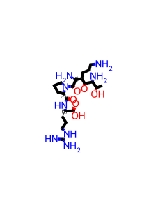 CC(O)C(N)C(=O)C(CCCN)[C@H](N)C(=O)N1CCC[C@H]1C(=O)N[C@@H](CCCNC(=N)N)C(=O)O